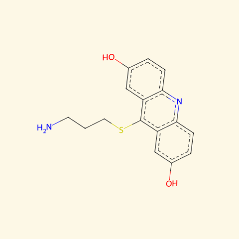 NCCCSc1c2cc(O)ccc2nc2ccc(O)cc12